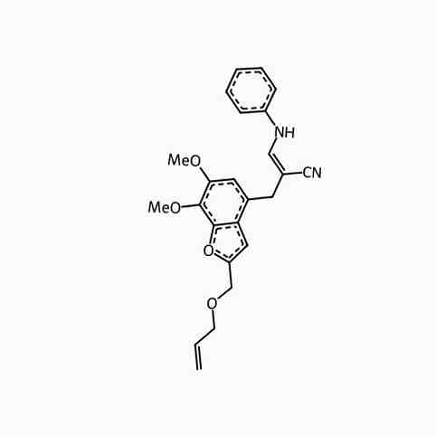 C=CCOCc1cc2c(CC(C#N)=CNc3ccccc3)cc(OC)c(OC)c2o1